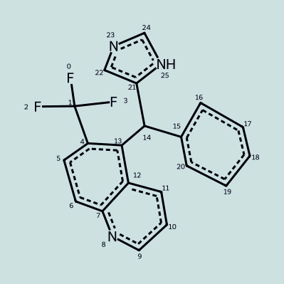 FC(F)(F)c1ccc2ncccc2c1C(c1ccccc1)c1cnc[nH]1